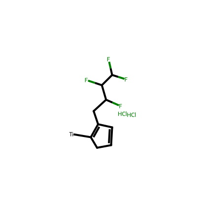 Cl.Cl.FC(F)C(F)C(F)CC1=[C]([Ti])CC=C1